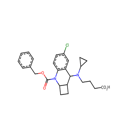 O=C(O)CCCN(C1CC1)C1c2cc(Cl)ccc2N(C(=O)OCc2ccccc2)C2CCC21